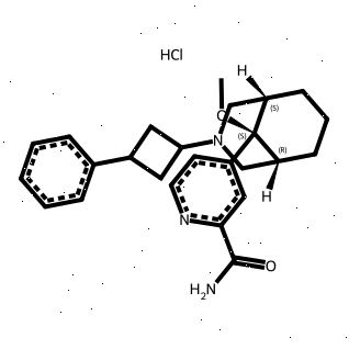 CO[C@]1(c2ccnc(C(N)=O)c2)[C@@H]2CCC[C@H]1CN(C1CC(c3ccccc3)C1)C2.Cl